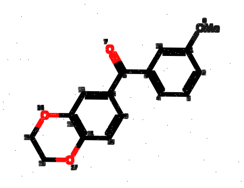 COc1cccc(C(=O)c2ccc3c(c2)OCCO3)c1